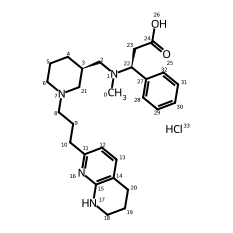 CN(C[C@@H]1CCCN(CCCc2ccc3c(n2)NCCC3)C1)[C@@H](CC(=O)O)c1ccccc1.Cl